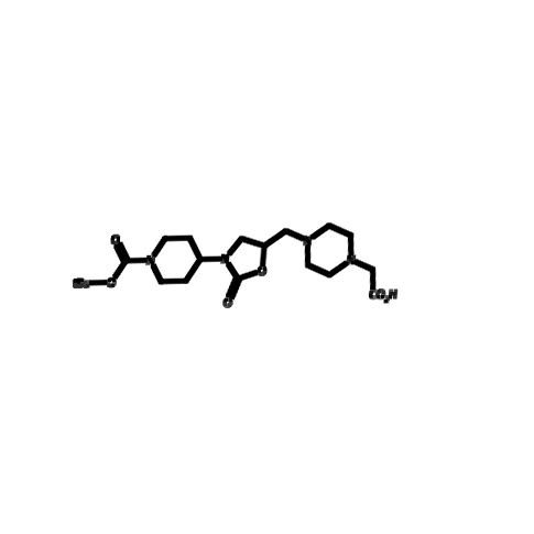 CC(C)(C)OC(=O)N1CCC(N2CC(CN3CCN(CC(=O)O)CC3)OC2=O)CC1